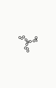 c1ccc2c(c1)ccc1c(-c3ccc(N(c4ccc(-c5ccc6sc7ccccc7c6c5)cc4)c4ccc(-c5cccc6c5ccc5ccccc56)cc4)cc3)cccc12